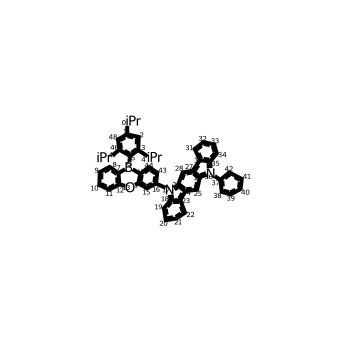 CC(C)c1cc(C(C)C)c(B2c3ccccc3Oc3cc(-n4c5ccccc5c5cc6c(cc54)c4ccccc4n6-c4ccccc4)ccc32)c(C(C)C)c1